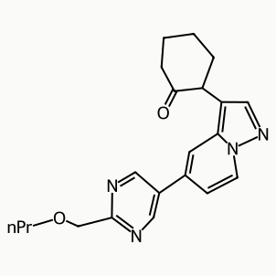 CCCOCc1ncc(-c2ccn3ncc(C4CCCCC4=O)c3c2)cn1